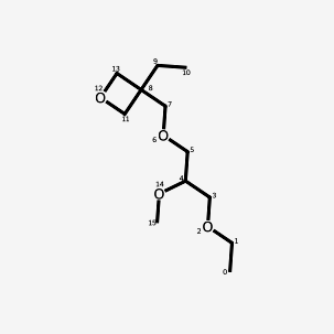 CCOCC(COCC1(CC)COC1)OC